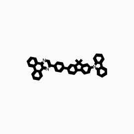 CC1(C)c2cc(-c3ccc(-c4cnc5c6ccccc6c6ccccc6c5n4)cc3)ccc2-c2ccc(-n3c4ccccc4c4ccccc43)cc21